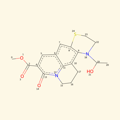 COC(=O)c1cc2cc3c(c4c2n(c1=O)CCC4)N(C(C)O)CCS3